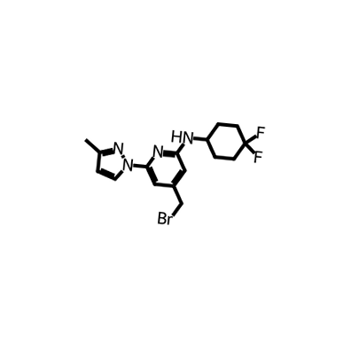 Cc1ccn(-c2cc(CBr)cc(NC3CCC(F)(F)CC3)n2)n1